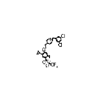 O=C(OC(=O)C(F)(F)F)c1cc(C2CC2)c(OCCC2CCN(Cc3cc(Cl)cc(Cl)c3)CC2)cc1F